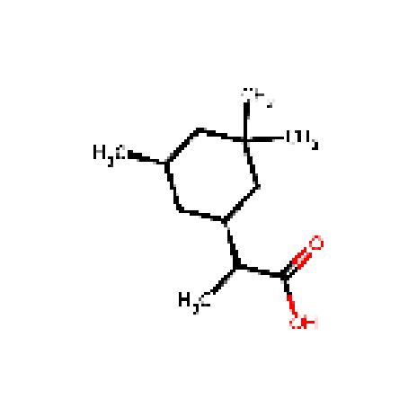 CC(C(=O)O)[C@H]1C[C@@H](C)CC(C)(C)C1